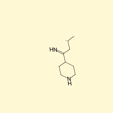 C[CH]CC(=N)C1CCNCC1